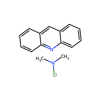 CN(C)Cl.c1ccc2nc3ccccc3cc2c1